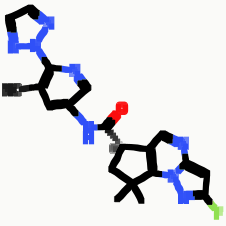 CC1(C)C[C@H](C(=O)Nc2cnc(-n3nccn3)c(C#N)c2)c2cnc3cc(F)nn3c21